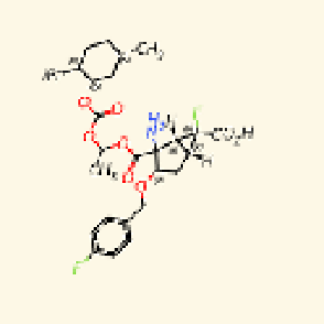 CC(OC(=O)O[C@H]1C[C@@H](C)CC[C@@H]1C(C)C)OC(=O)C1(N)[C@H]2[C@@H](C[C@H]1OCc1ccc(F)cc1)[C@]2(F)C(=O)O